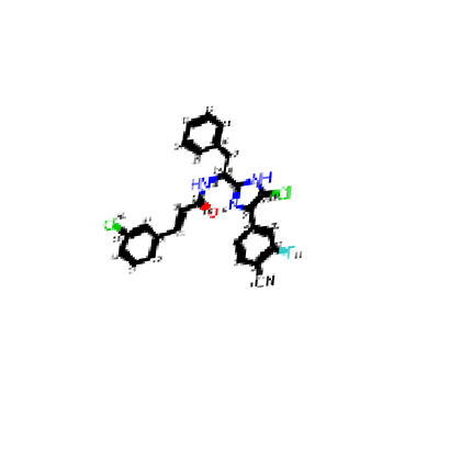 N#Cc1ccc(-c2nc([C@H](Cc3ccccc3)NC(=O)C=Cc3cccc(Cl)c3)[nH]c2Cl)cc1F